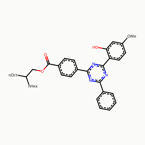 CCCCCCCCC(CCCCCC)COC(=O)c1ccc(-c2nc(-c3ccccc3)nc(-c3ccc(OC)cc3O)n2)cc1